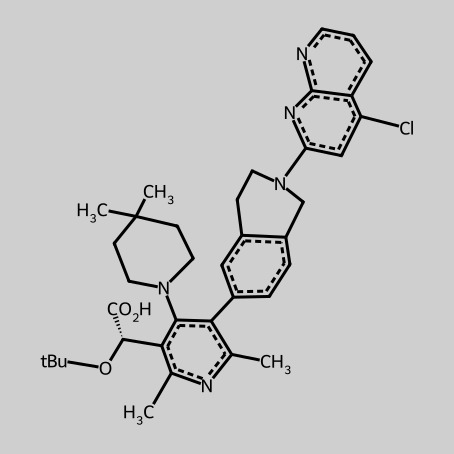 Cc1nc(C)c([C@H](OC(C)(C)C)C(=O)O)c(N2CCC(C)(C)CC2)c1-c1ccc2c(c1)CCN(c1cc(Cl)c3cccnc3n1)C2